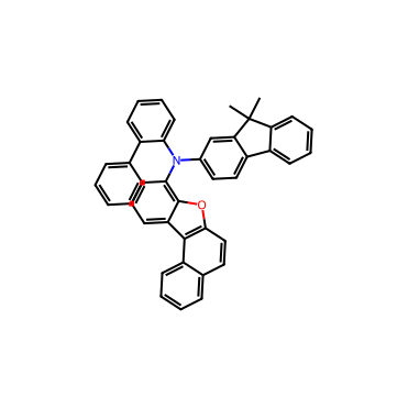 CC1(C)c2ccccc2-c2ccc(N(c3ccccc3-c3ccccc3)c3cccc4c3oc3ccc5ccccc5c34)cc21